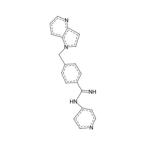 N=C(Nc1ccncc1)c1ccc(Cn2ccc3ncccc32)cc1